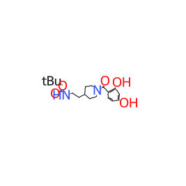 CC(C)(C)OC(=O)NCCC1CCN(C(=O)c2ccc(O)cc2O)CC1